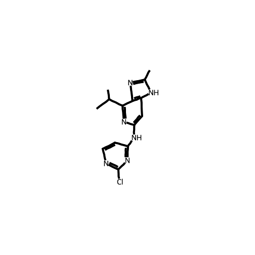 Cc1nc2c(C(C)C)nc(Nc3ccnc(Cl)n3)cc2[nH]1